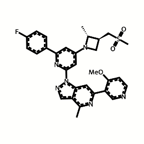 COc1ccncc1-c1cc2c(cnn2-c2cc(N3C[C@H](CS(C)(=O)=O)[C@H]3C)cc(-c3ccc(F)cc3)n2)c(C)n1